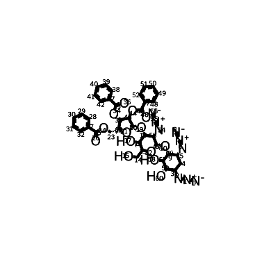 [N-]=[N+]=NC1CC(N=[N+]=[N-])[C@@H](O[C@H]2OC(CO)[C@@H](O)C(O[C@@H]3O[C@H](COC(=O)c4ccccc4)C(OC(=O)c4ccccc4)C3OC(=O)c3ccccc3)C2N=[N+]=[N-])C(O)C1O